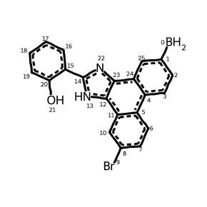 Bc1ccc2c3ccc(Br)cc3c3[nH]c(-c4ccccc4O)nc3c2c1